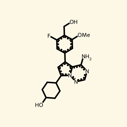 COc1cc(-c2cc(C3CCC(O)CC3)n3ncnc(N)c23)cc(F)c1CO